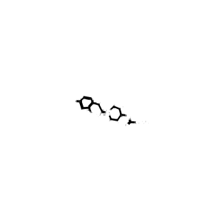 CNC(=O)OC1CCN(CCc2ccc(F)cc2OC)CC1